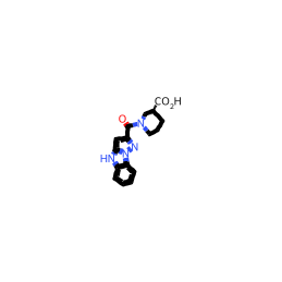 O=C(O)[C@H]1CCCN(C(=O)c2cc3[nH]c4ccccc4n3n2)C1